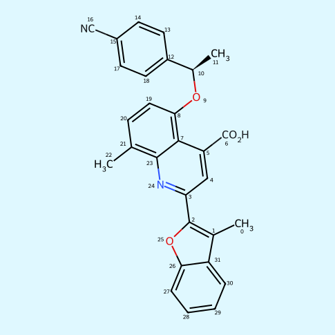 Cc1c(-c2cc(C(=O)O)c3c(O[C@H](C)c4ccc(C#N)cc4)ccc(C)c3n2)oc2ccccc12